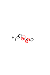 CC(C)CCOC(=O)CCC(=O)OCc1ccccc1